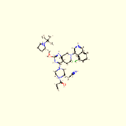 [2H]C([2H])([2H])N1CCC[C@H]1COc1nc2c(c(N3CCN(C(=O)C=C)[C@@H](CC#N)C3)n1)CCN(c1cncc3cccc(Cl)c13)C2